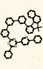 CC1(C)c2cccc(-c3cccc(-c4cccc(-c5cccc(-c6nc(-c7ccccc7)nc(-c7ccc(-c8ccccc8)nc7)n6)c5)c4)c3)c2-c2c1ccc1ccccc21